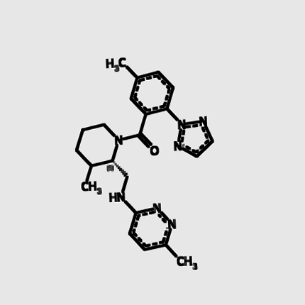 Cc1ccc(-n2nccn2)c(C(=O)N2CCCC(C)[C@H]2CNc2ccc(C)nn2)c1